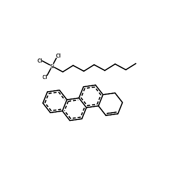 C1=Cc2c(ccc3c2ccc2ccccc23)CC1.CCCCCCCC[Si](Cl)(Cl)Cl